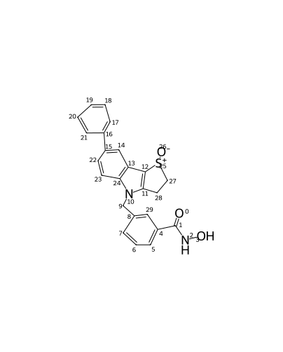 O=C(NO)c1cccc(Cn2c3c(c4cc(-c5ccccc5)ccc42)[S+]([O-])CC3)c1